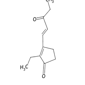 CCC(=O)C=CC1=C(CC)C(=O)CC1